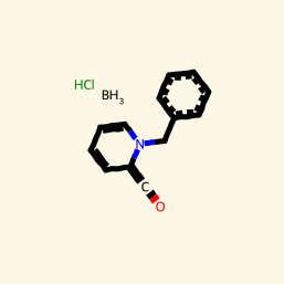 B.Cl.O=C=C1C=CC=CN1Cc1ccccc1